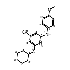 COc1ccc(Nc2cc(Cl)nc(NC3CCCCC3)n2)cc1